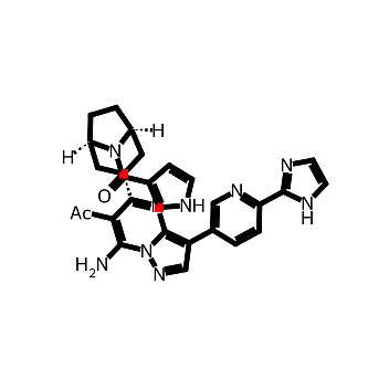 CC(=O)c1c([C@@H]2C[C@H]3CC[C@@H](C2)N3C(=O)c2cc[nH]c2)nc2c(-c3ccc(-c4ncc[nH]4)nc3)cnn2c1N